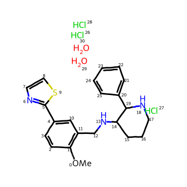 COc1ccc(-c2nccs2)cc1CNC1CCCNC1c1ccccc1.Cl.Cl.Cl.O.O